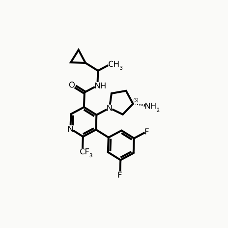 CC(NC(=O)c1cnc(C(F)(F)F)c(-c2cc(F)cc(F)c2)c1N1CC[C@H](N)C1)C1CC1